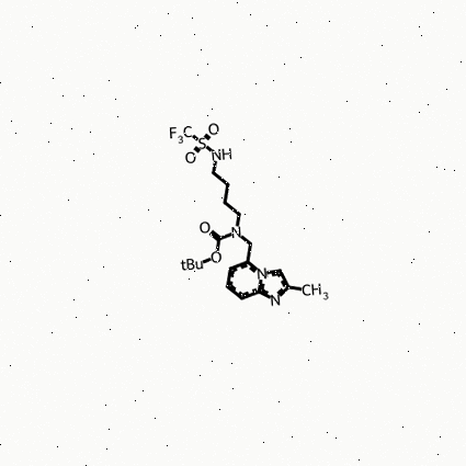 Cc1cn2c(CN(CCCCNS(=O)(=O)C(F)(F)F)C(=O)OC(C)(C)C)cccc2n1